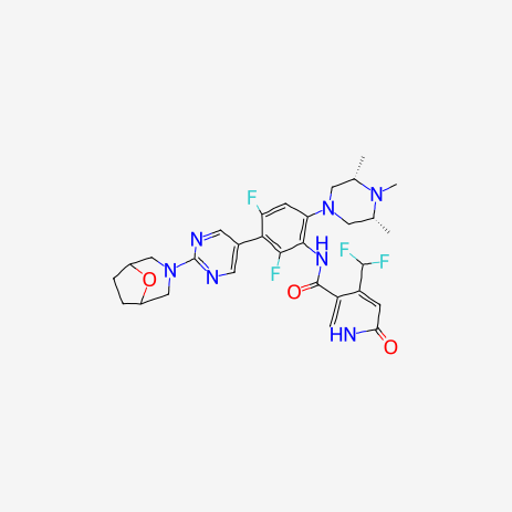 C[C@@H]1CN(c2cc(F)c(-c3cnc(N4CC5CCC(C4)O5)nc3)c(F)c2NC(=O)c2c[nH]c(=O)cc2C(F)F)C[C@H](C)N1C